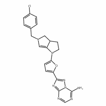 Nc1ncnc2nc(-c3ccc(N4CCC5CN(Cc6ccc(Cl)cc6)C=C54)o3)nn12